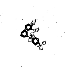 [Cl-].[Cl-].[Cl-].[Cl][Sn+]([Cl])[c]1ccccc1.[Cl][Sn+]([Cl])[c]1ccccc1.[Cl][Sn+]([Cl])[c]1ccccc1